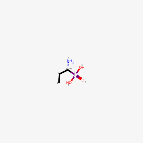 CC[C@H](N)P(=O)(O)O